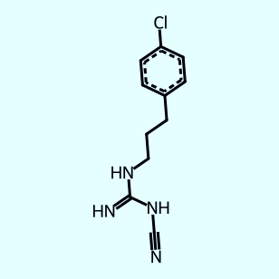 N#CNC(=N)NCCCc1ccc(Cl)cc1